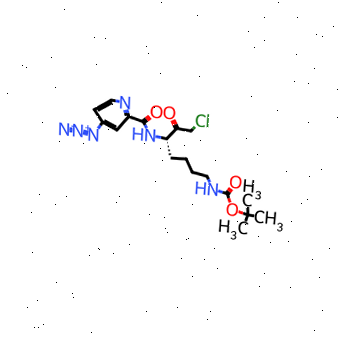 CC(C)(C)OC(=O)NCCCC[C@H](NC(=O)c1cc(N=[N+]=[N-])ccn1)C(=O)CCl